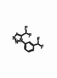 FC(F)c1cccc(-n2nn[c]c2C(F)F)c1